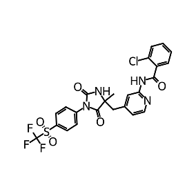 CC1(Cc2ccnc(NC(=O)c3ccccc3Cl)c2)NC(=O)N(c2ccc(S(=O)(=O)C(F)(F)F)cc2)C1=O